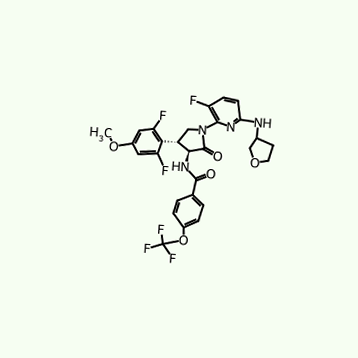 COc1cc(F)c([C@@H]2CN(c3nc(NC4CCOC4)ccc3F)C(=O)[C@H]2NC(=O)c2ccc(OC(F)(F)F)cc2)c(F)c1